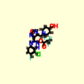 O=C(ONC(=Nc1ccc(F)c(Cl)c1)c1nonc1CN1CCC(O)CC1)C(F)(F)F